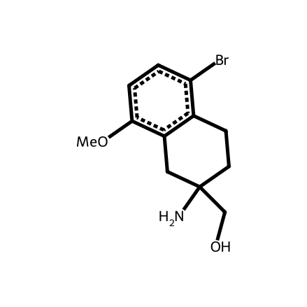 COc1ccc(Br)c2c1CC(N)(CO)CC2